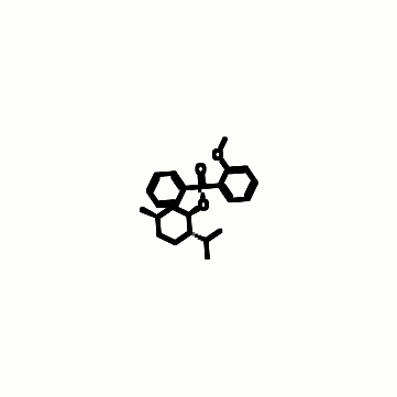 COc1ccccc1[P@@](=O)(O[C@@H]1C[C@H](C)CC[C@H]1C(C)C)c1ccccc1